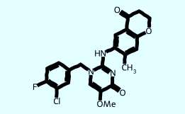 COc1cn(Cc2ccc(F)c(Cl)c2)c(Nc2cc3c(cc2C)OCCC3=O)nc1=O